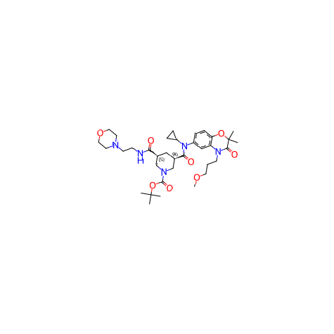 COCCCN1C(=O)C(C)(C)Oc2ccc(N(C(=O)[C@@H]3C[C@H](C(=O)NCCN4CCOCC4)CN(C(=O)OC(C)(C)C)C3)C3CC3)cc21